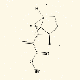 C=C(C(=O)OC(C)C)C1C[C@H]2CC[C@@]1(C)C2(C)C